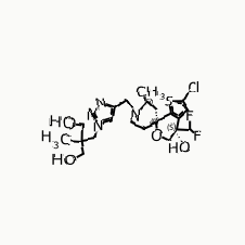 C[C@H]1C[C@@]2(CCN1Cc1cn(CC(C)(CO)CO)nn1)OC[C@](O)(C(F)F)c1cc(Cl)sc12